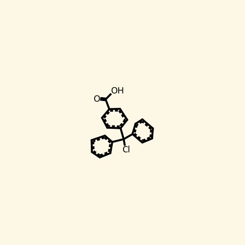 O=C(O)c1ccc(C(Cl)(c2ccccc2)c2ccccc2)cc1